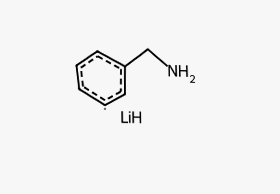 NCc1c[c]ccc1.[LiH]